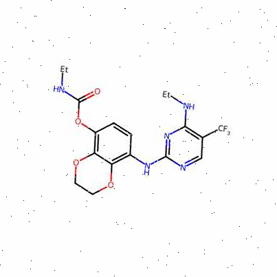 CCNC(=O)Oc1ccc(Nc2ncc(C(F)(F)F)c(NCC)n2)c2c1OCCO2